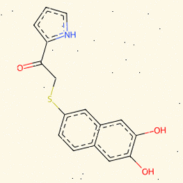 O=C(CSc1ccc2cc(O)c(O)cc2c1)c1ccc[nH]1